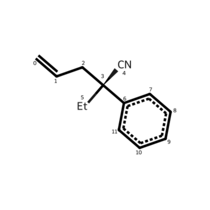 C=CC[C@@](C#N)(CC)c1ccccc1